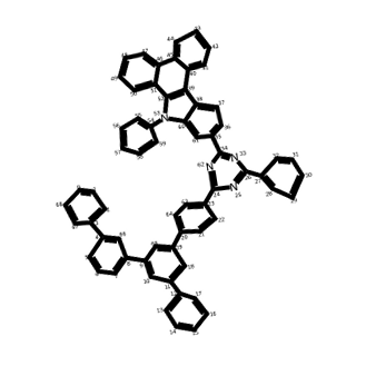 c1ccc(-c2cccc(-c3cc(-c4ccccc4)cc(-c4ccc(-c5nc(-c6ccccc6)nc(-c6ccc7c8c9ccccc9c9ccccc9c8n(-c8ccccc8)c7c6)n5)cc4)c3)c2)cc1